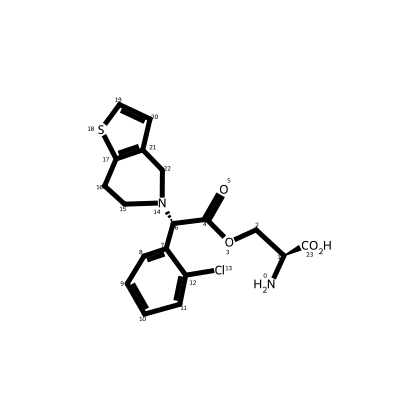 N[C@@H](COC(=O)[C@H](c1ccccc1Cl)N1CCc2sccc2C1)C(=O)O